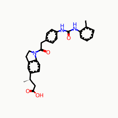 Cc1ccccc1NC(=O)Nc1ccc(CC(=O)N2CCc3cc([C@@H](C)CC(=O)O)ccc32)cc1